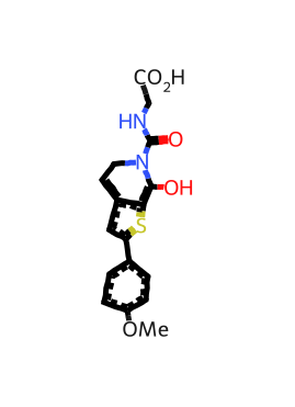 COc1ccc(-c2cc3c(s2)=C(O)N(C(=O)NCC(=O)O)CC=3)cc1